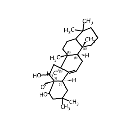 CC1(C)CC(O)[C@]2(C=O)C(O)C[C@]3(C)C(=CC[C@@H]4[C@@]5(C)CCCC(C)(C)C5CC[C@]43C)[C@H]2C1